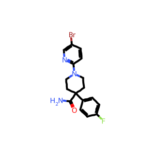 NC(=O)C1(c2ccc(F)cc2)CCN(c2ccc(Br)cn2)CC1